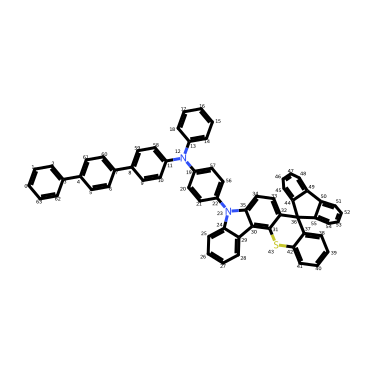 c1ccc(-c2ccc(-c3ccc(N(c4ccccc4)c4ccc(-n5c6ccccc6c6c7c(ccc65)C5(c6ccccc6S7)c6ccccc6-c6ccccc65)cc4)cc3)cc2)cc1